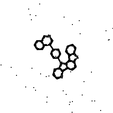 c1ccc2c(-c3ccc(-n4c5cccnc5c5ccc6sc7ccccc7c6c54)cc3)cncc2c1